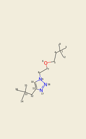 CC(C)(C)CCOCCn1cc(CC(C)(C)C)nn1